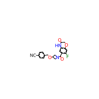 N#Cc1ccc(COC2CN(C(=O)c3cc4c(cc3F)OCC(=O)N4)C2)cc1